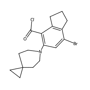 O=C(Cl)c1c(N2CCC3(CC2)CC3)cc(Br)c2c1CCC2